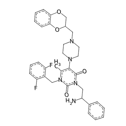 Cc1c(N2CCN(CC3COc4ccccc4O3)CC2)c(=O)n(CC(N)c2ccccc2)c(=O)n1Cc1c(F)cccc1F